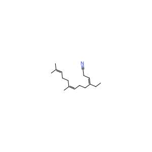 CCC(=CCC#N)CCC=C(C)CCC=C(C)C